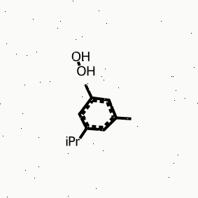 Cc1cc(C)cc(C(C)C)c1.OO